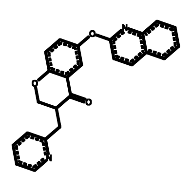 O=C1c2cc(Oc3ccc4ccccc4n3)ccc2OCC1Cc1ccccn1